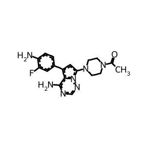 CC(=O)N1CCN(c2cc(-c3ccc(N)c(F)c3)c3c(N)ncnn23)CC1